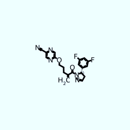 C=C(CCCOc1cnc(C#N)cn1)C(=O)N1N=CC[C@H]1c1cc(F)cc(F)c1